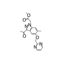 COC(=O)Cn1nc(C(C)=O)c2cc(OCc3ncccn3)c(C)cc21